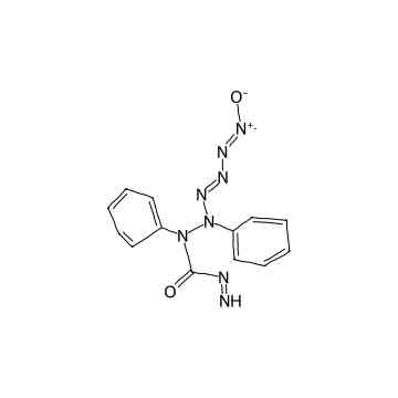 N=NC(=O)N(c1ccccc1)N(N=NN=[N+][O-])c1ccccc1